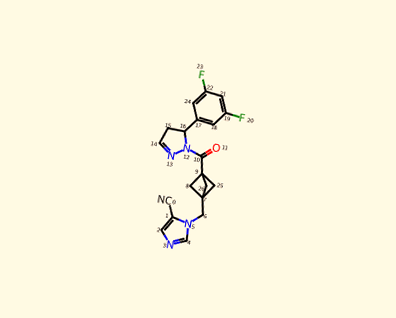 N#Cc1cncn1CC12CC(C(=O)N3N=CCC3c3cc(F)cc(F)c3)(C1)C2